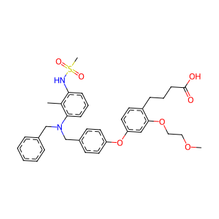 COCCOc1cc(Oc2ccc(CN(Cc3ccccc3)c3cccc(NS(C)(=O)=O)c3C)cc2)ccc1CCCC(=O)O